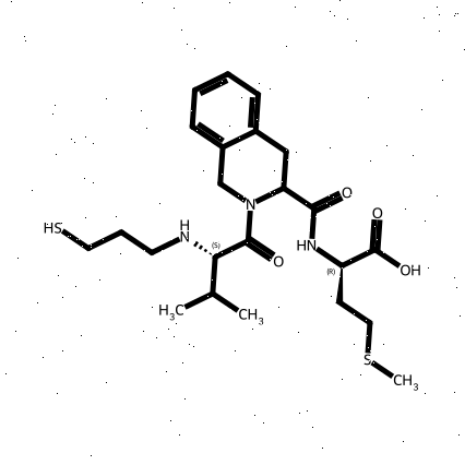 CSCC[C@@H](NC(=O)C1Cc2ccccc2CN1C(=O)[C@@H](NCCCS)C(C)C)C(=O)O